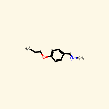 [CH2-][NH2+]Cc1ccc(OCCC)cc1